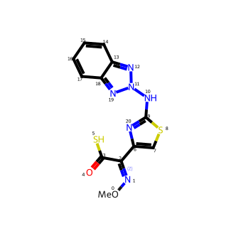 CO/N=C(\C(=O)S)c1csc(Nn2nc3ccccc3n2)n1